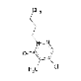 CCCCn1ncc(Cl)c(C)c1=O